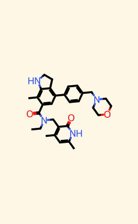 CCN(Cc1c(C)cc(C)[nH]c1=O)C(=O)c1cc(-c2ccc(CN3CCOCC3)cc2)c2c(c1C)NCC2